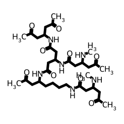 CNC(CC(C)=O)CC(=O)NCCCCC(CC(C)=O)NC(=O)CC(CC(=O)NC(CC(C)=O)CC(C)=O)NC(=O)CC(CC(C)=O)NC